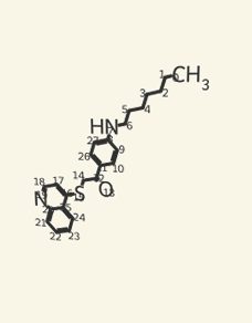 CCCCCCCNc1ccc(C(=O)CSc2ccnc3ccccc23)cc1